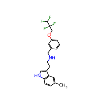 Cc1ccc2[nH]cc(CCNCc3cccc(OCC(F)(F)C(F)F)c3)c2c1